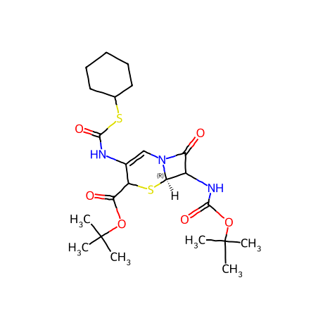 CC(C)(C)OC(=O)NC1C(=O)N2C=C(NC(=O)SC3CCCCC3)C(C(=O)OC(C)(C)C)S[C@H]12